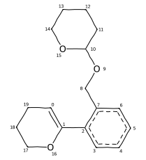 C1=C(c2ccccc2COC2CCCCO2)OCCC1